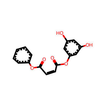 O=C(/C=C\C(=O)Oc1cc(O)cc(O)c1)Oc1ccccc1